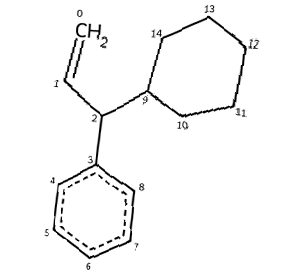 C=CC(c1ccccc1)C1CCCCC1